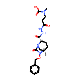 CN(CCC(=O)NNC(=O)[C@@H]1CC[C@@H]2CN1C(=O)N2OCc1ccccc1)C(=O)O